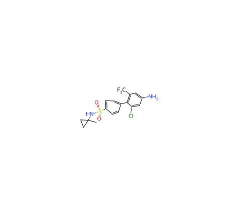 CC1(NS(=O)(=O)c2ccc(-c3c(Cl)cc(N)cc3C(F)(F)F)cc2)CC1